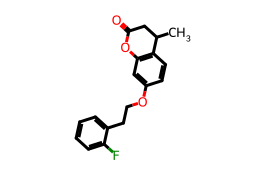 CC1CC(=O)Oc2cc(OCCc3ccccc3F)ccc21